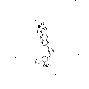 CCNC(=O)Nc1ccc2nc(-c3cnn(Cc4ccc(O)c(OC)c4)c3)cnc2n1